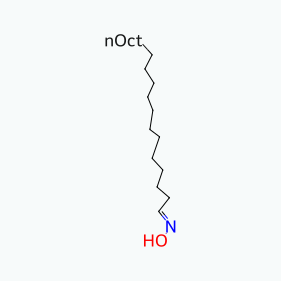 CCCCCCCCCCCCCCCCCCCC=NO